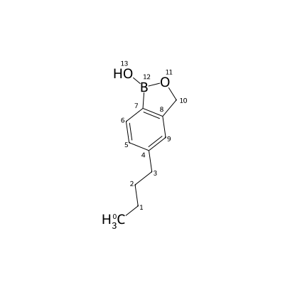 CCCCc1ccc2c(c1)COB2O